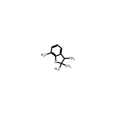 Cc1cccc2c1OC(C)(C)C2C